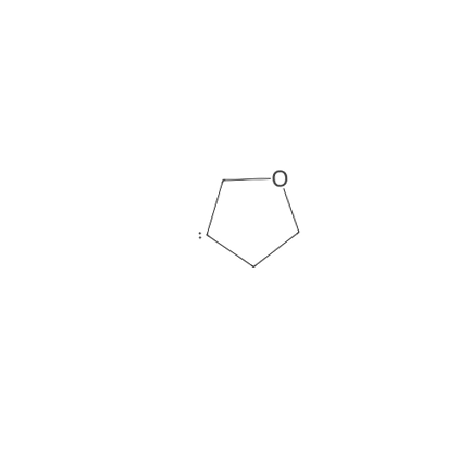 [C]1CCOC1